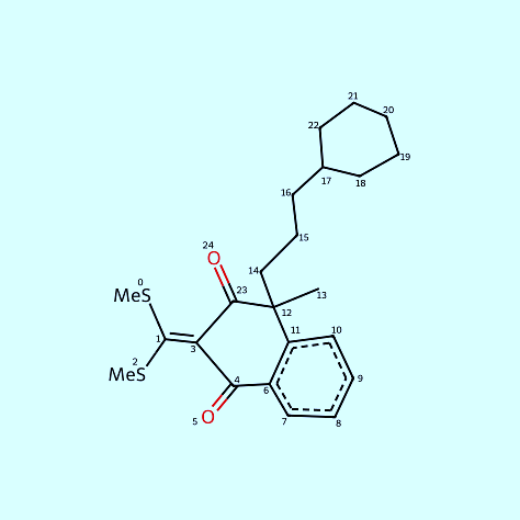 CSC(SC)=C1C(=O)c2ccccc2C(C)(CCCC2CCCCC2)C1=O